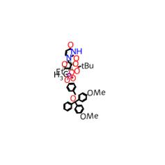 CC[C@H]1O[C@@H](n2ccc(=O)[nH]c2=O)[C@H](OC(=O)C(C)(C)C)[C@@H]1OP(C)(=O)Oc1ccc(COC(c2ccccc2)(c2ccc(OC)cc2)c2ccc(OC)cc2)cc1